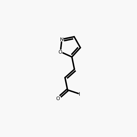 O=C(I)/C=C/c1ccno1